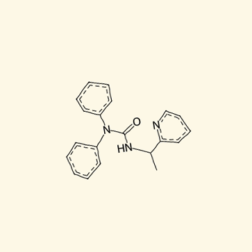 CC(NC(=O)N(c1ccccc1)c1ccccc1)c1ccccn1